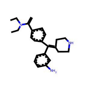 C=C(c1ccc(C(=C2CCNCC2)c2cccc(N)c2)cc1)N(CC)CC